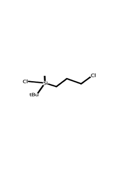 CC(C)(C)[Si](C)(Cl)CCCCl